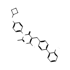 CCCc1nc(C)n(-c2ccc(OC3CCC3)cc2)c(=O)c1Cc1ccc(-c2ccccc2C#N)cc1